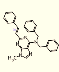 Cn1cnc2c(N(Cc3ccccc3)Cc3ccccc3)nc(/C=C/c3ccccc3)nc21